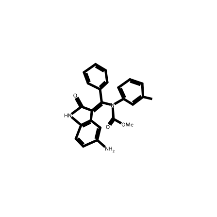 COC(=O)N(C(=C1C(=O)Nc2ccc(N)cc21)c1ccccc1)c1cccc(C)c1